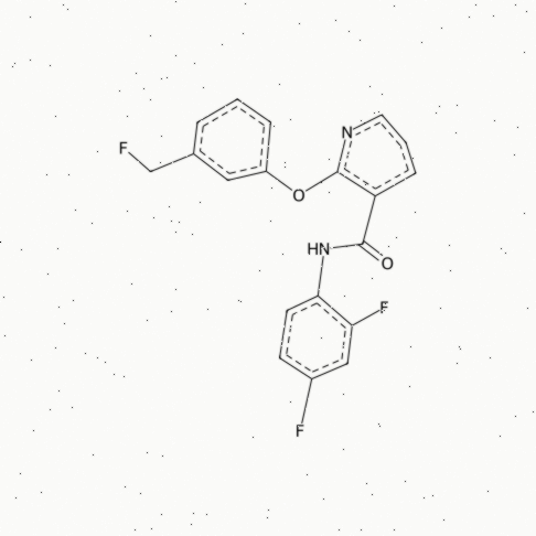 O=C(Nc1ccc(F)cc1F)c1cccnc1Oc1cccc(CF)c1